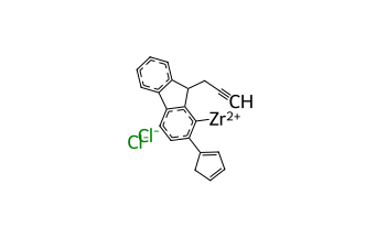 C#CCC1c2ccccc2-c2ccc(C3=CC=CC3)[c]([Zr+2])c21.[Cl-].[Cl-]